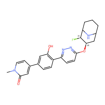 Cn1ccc(-c2ccc(-c3ccc(O[C@@H]4CC5CCCC(N5)[C@@H]4F)nn3)c(O)c2)cc1=O